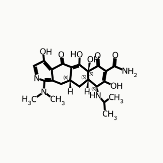 CC(C)N[C@@H]1C(O)=C(C(N)=O)C(=O)[C@@]2(O)C(O)=C3C(=O)c4c(O)cnc(N(C)C)c4C[C@H]3C[C@@H]12